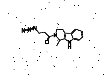 CC1c2[nH]c3ccccc3c2CCN1C(=O)CCN=[N+]=[N-]